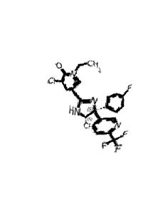 CCn1cc(C2=N[C@@](c3ccc(F)cc3)(c3ccc(C(F)(F)F)nc3)[C@H](C)N2)cc(Cl)c1=O